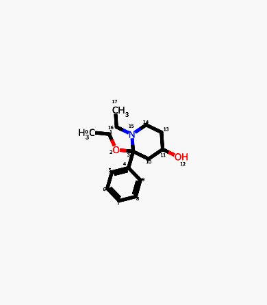 CCOC1(c2ccccc2)CC(O)CCN1CC